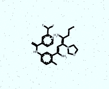 C=C(Nc1ccc(C)c(/C(N)=C/C(=C(\N)CCC)N2CCOC2)c1)c1ccnc(C(F)F)c1